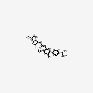 CCCC(CCC)c1ccc(-c2nc(/N=C(\C)CC3COC4C(C#N)CCC34)c(C)cc2Cl)cc1